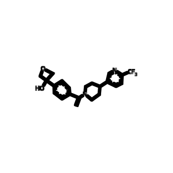 C=C(c1ccc(C2(O)COC2)cc1)N1CCC(c2ccc(C(F)(F)F)nc2)CC1